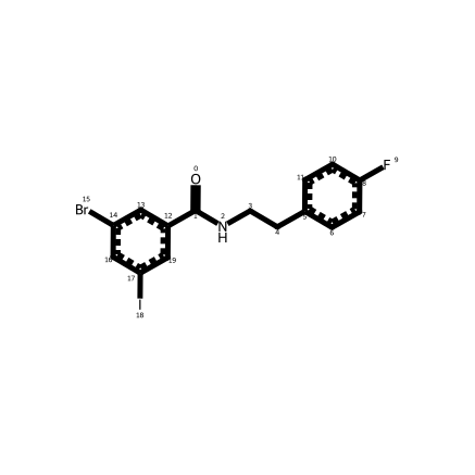 O=C(NCCc1ccc(F)cc1)c1cc(Br)cc(I)c1